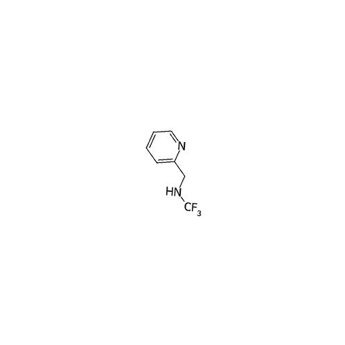 FC(F)(F)NCc1ccccn1